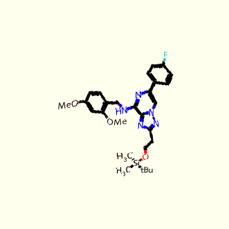 COc1ccc(CNc2nc(-c3ccc(F)cc3)cn3nc(CCO[Si](C)(C)C(C)(C)C)nc23)c(OC)c1